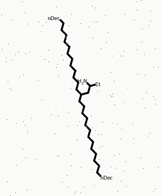 CCCCCCCCCCCCCCCCCCCCCCCC(CCCCCCCCCCCCCCCCCCCCCC)CC(N)CC